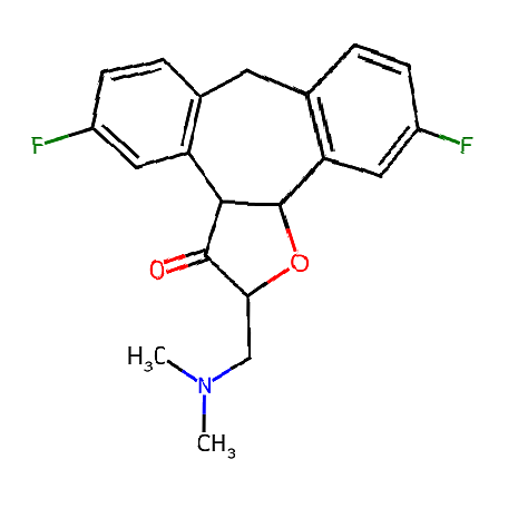 CN(C)CC1OC2c3cc(F)ccc3Cc3ccc(F)cc3C2C1=O